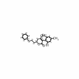 CCc1cc(C)cc(CC)c1C1=C(O)CC(CCSc2ccccc2)OC1=O